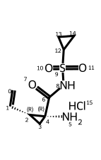 C=C[C@H]1C[C@]1(N)C(=O)NS(=O)(=O)C1CC1.Cl